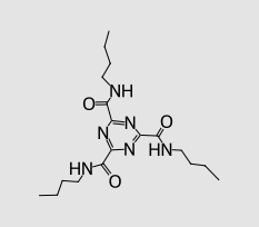 CCCCNC(=O)c1nc(C(=O)NCCCC)nc(C(=O)NCCCC)n1